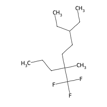 CCCC(C)(CCC(CC)CC)C(F)(F)F